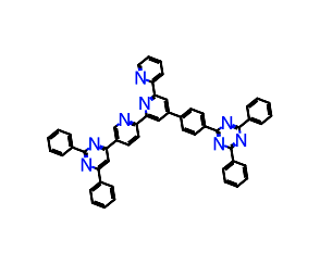 c1ccc(-c2cc(-c3ccc(-c4cc(-c5ccc(-c6nc(-c7ccccc7)nc(-c7ccccc7)n6)cc5)cc(-c5ccccn5)n4)nc3)nc(-c3ccccc3)n2)cc1